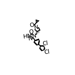 O=C(C1CC1)N1CC[C@@H](Cn2c(-c3ccc(-c4ccc(Cl)cc4Cl)cc3)n[nH]c2=O)C1